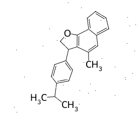 Cc1cc2ccccc2c2c1C(c1ccc(C(C)C)cc1)CO2